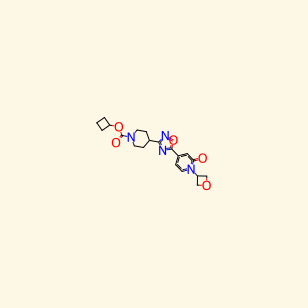 O=C(OC1CCC1)N1CCC(c2noc(-c3ccn(C4COC4)c(=O)c3)n2)CC1